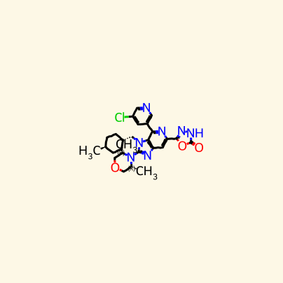 C[C@@H]1COC[C@@H](C)N1c1nc2cc(-c3n[nH]c(=O)o3)nc(-c3cncc(Cl)c3)c2n1C[C@H]1CC[C@H](C)CC1